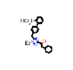 CCn1nc(C(=O)CC2CCCCC2)nc1Cc1ccc(-c2ccccc2C(=O)O)cc1